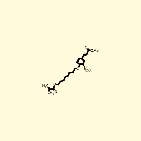 C=C(C)C(=O)OCCCCCCCCOc1ccc(/C=C/C(=O)OC)cc1OCCCCCCCC